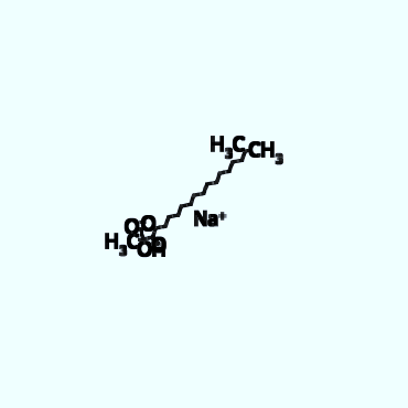 CC(C)CCCCCCCCCCCCCCC(=O)C(C)(O)C(=O)[O-].[Na+]